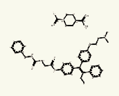 CC/C(=C(/c1ccc(OCCN(C)C)cc1)c1ccc(OC(=O)CNC(=O)OCc2ccccc2)cc1)c1ccccc1.O=C(O)C1CCN(C(=O)O)CC1